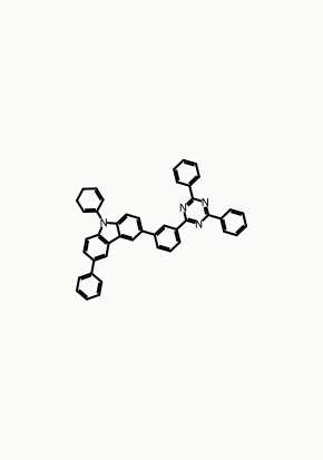 C1=CC(n2c3ccc(-c4ccccc4)cc3c3cc(-c4cccc(-c5nc(-c6ccccc6)nc(-c6ccccc6)n5)c4)ccc32)=CCC1